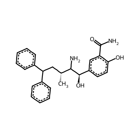 C[C@H](CC(c1ccccc1)c1ccccc1)C(N)[C@H](O)c1ccc(O)c(C(N)=O)c1